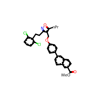 CCCc1onc(CCc2c(Cl)cccc2Cl)c1COc1ccc(-c2ccc3cc(C(=O)OC)ccc3c2)cc1